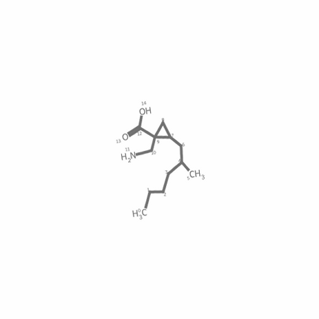 CCCCC(C)CC1CC1(CN)C(=O)O